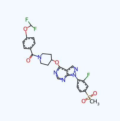 CS(=O)(=O)c1ccc(-n2ncc3c(OC4CCN(C(=O)c5ccc(OC(F)F)cc5)CC4)ncnc32)c(F)c1